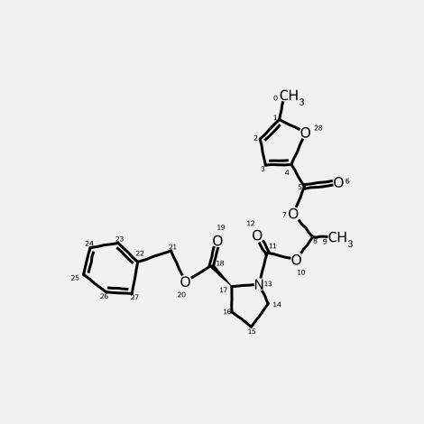 Cc1ccc(C(=O)OC(C)OC(=O)N2CCC[C@H]2C(=O)OCc2ccccc2)o1